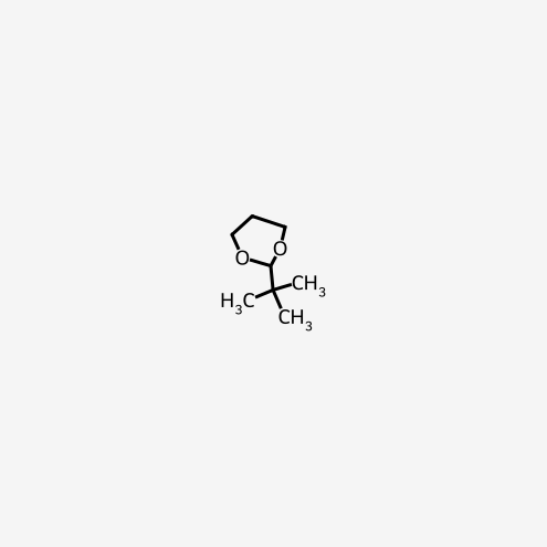 CC(C)(C)C1OCCCO1